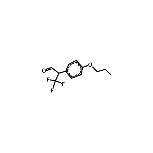 CCCOc1ccc(C(C=O)C(F)(F)F)cc1